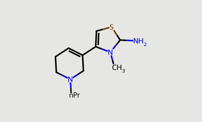 CCCN1CCC=C(C2=CSC(N)N2C)C1